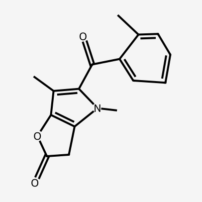 Cc1ccccc1C(=O)c1c(C)c2c(n1C)CC(=O)O2